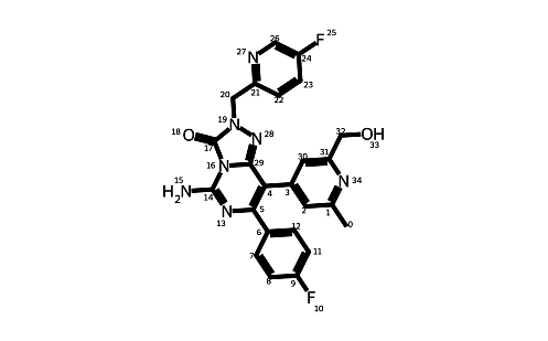 Cc1cc(-c2c(-c3ccc(F)cc3)nc(N)n3c(=O)n(Cc4ccc(F)cn4)nc23)cc(CO)n1